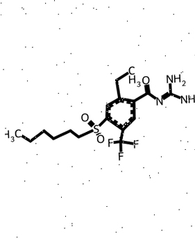 CCCCCCS(=O)(=O)c1cc(CC)c(C(=O)N=C(N)N)cc1C(F)(F)F